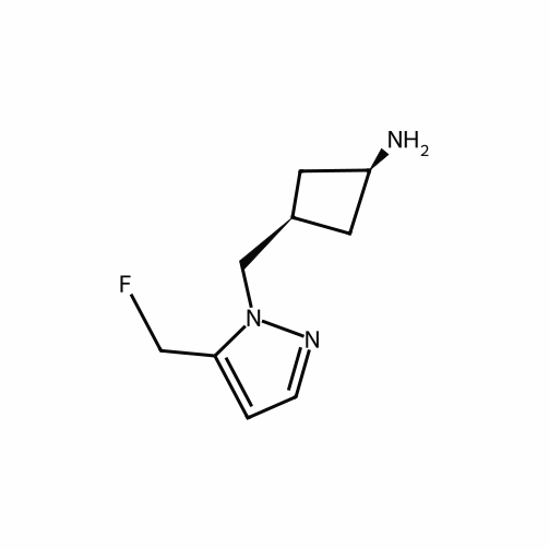 N[C@H]1C[C@@H](Cn2nccc2CF)C1